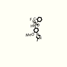 COc1cc(NS(=O)(=O)c2ccccc2C(F)(F)F)ccc1-n1cnc(C)c1